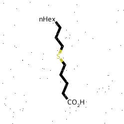 CCCCCCCCCSCCCCC(=O)O